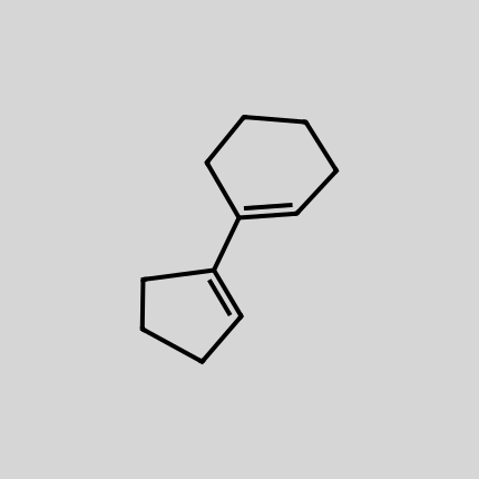 C1=C(C2=CCCCC2)CCC1